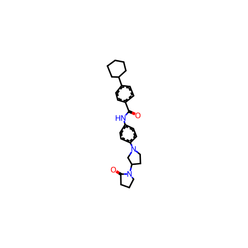 O=C(Nc1ccc(N2CCC(N3CCCC3=O)C2)cc1)c1ccc(C2CCCCC2)cc1